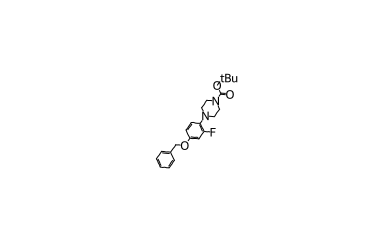 CC(C)(C)OC(=O)N1CCN(c2ccc(OCc3ccccc3)cc2F)CC1